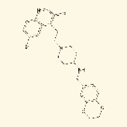 O=c1cnc2ccc(Br)cc2n1CCN1CCC(NCc2ccc3c(c2)OCCO3)CC1